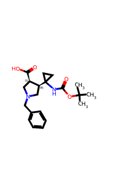 CC(C)(C)OC(=O)NC1([C@H]2CN(Cc3ccccc3)C[C@H]2C(=O)O)CC1